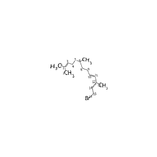 CC(C)=CCCC(C)CCC=CC(C)=CCBr